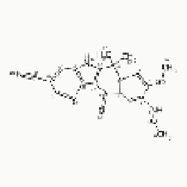 CONc1cc2c(cc1OC)C(C)(C)c1[nH]c3cc(C#N)ccc3c1C2=O